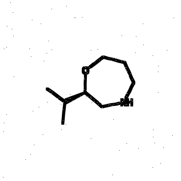 CC(C)[C@@H]1CNCCCO1